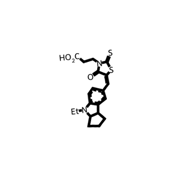 CCN1c2ccc(/C=C3/SC(=S)N(CCC(=O)O)C3=O)cc2C2CCCC21